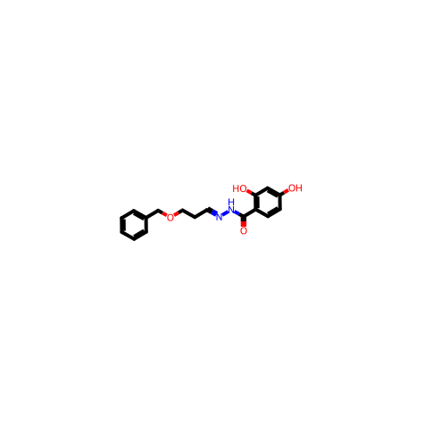 O=C(NN=CCCOCc1ccccc1)c1ccc(O)cc1O